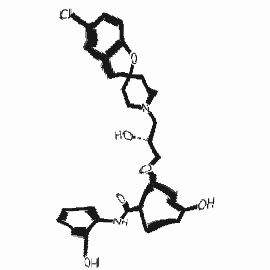 O=C(Nc1ccccc1O)c1ccc(O)cc1OC[C@H](O)CN1CCC2(CC1)Cc1cc(Cl)ccc1O2